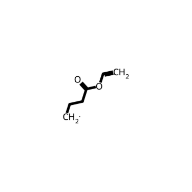 [CH2]CCC(=O)OC=C